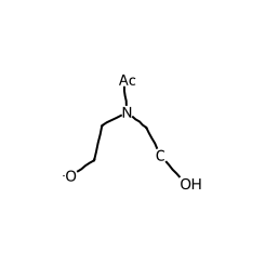 CC(=O)N(CC[O])CCO